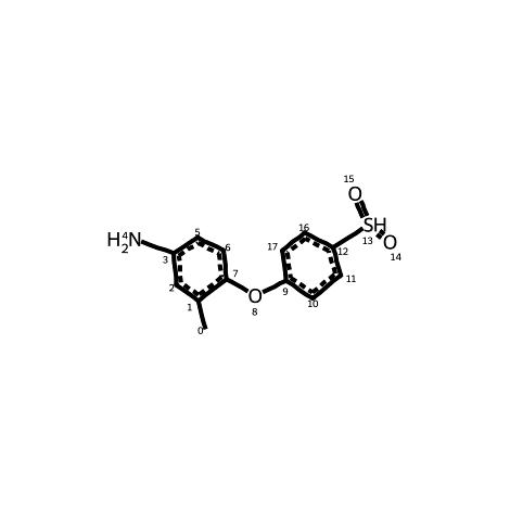 Cc1cc(N)ccc1Oc1ccc([SH](=O)=O)cc1